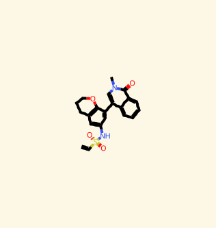 C=CS(=O)(=O)Nc1cc2c(c(-c3cn(C)c(=O)c4ccccc34)c1)OCCC2